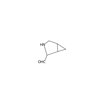 O=CC1NCC2CC21